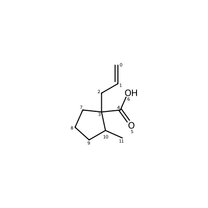 C=CCC1(C(=O)O)CCCC1C